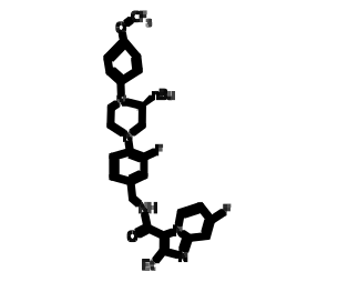 CCCC[C@H]1CN(c2ccc(CNC(=O)c3c(CC)nc4cc(F)ccn34)cc2F)CCN1c1ccc(OC(F)(F)F)cc1